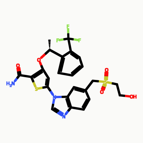 C[C@@H](Oc1cc(-n2cnc3ccc(CS(=O)(=O)CCO)cc32)sc1C(N)=O)c1ccccc1C(F)(F)F